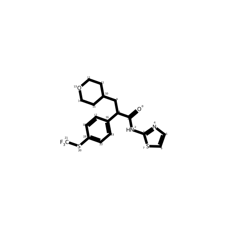 O=C(Nc1nccs1)C(CC1CCOCC1)c1ccc(SC(F)(F)F)cc1